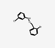 Clc1cccc(NOCc2ccccc2Br)c1